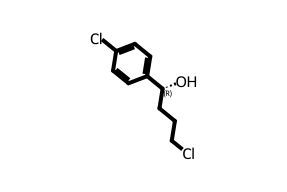 O[C@H](CCCCl)c1ccc(Cl)cc1